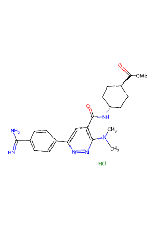 COC(=O)[C@H]1CC[C@H](NC(=O)c2cc(-c3ccc(C(=N)N)cc3)nnc2N(C)C)CC1.Cl